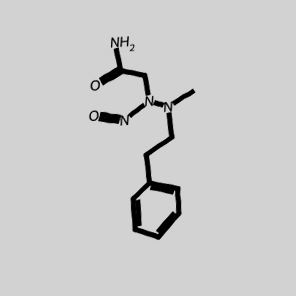 CN(CCc1ccccc1)N(CC(N)=O)N=O